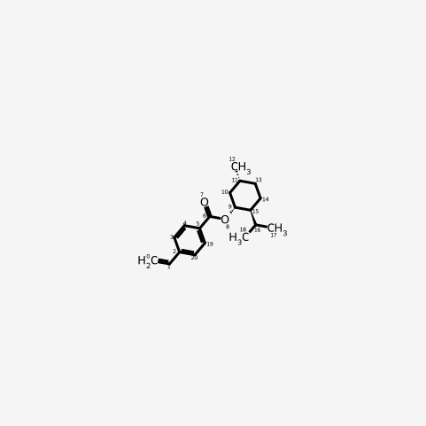 C=Cc1ccc(C(=O)O[C@@H]2C[C@H](C)CC[C@H]2C(C)C)cc1